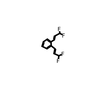 FC(F)/C=C/c1ccccc1/C=C/C(F)F